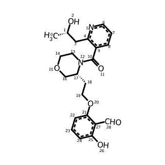 C[C@H](O)Cc1ncccc1C(=O)N1CCOC[C@H]1CCOc1cccc(O)c1C=O